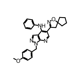 COc1ccc(Cn2ncc3c(Nc4ccccc4)c(C4=NOC5(CCCC5)C4)cnc32)cc1